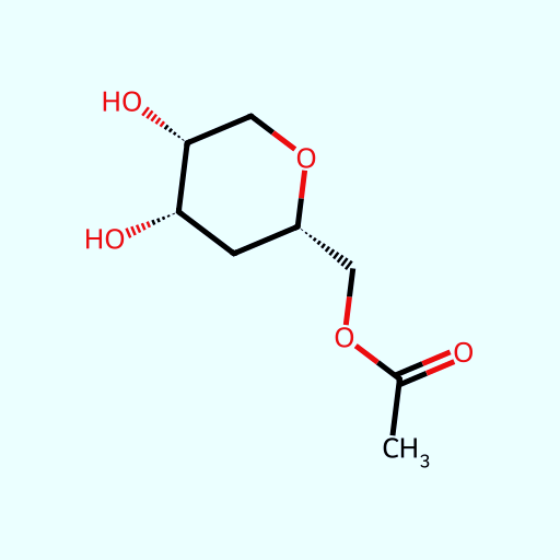 CC(=O)OC[C@@H]1C[C@H](O)[C@H](O)CO1